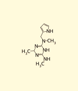 CNC1=NC(C)N=C(N(C)Cc2ccc[nH]2)N1